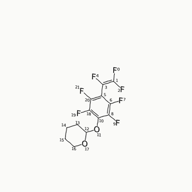 FC(F)=C(F)c1c(F)c(F)c(OC2CCCCO2)c(F)c1F